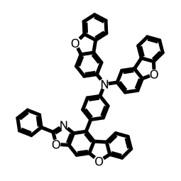 c1ccc(-c2nc3c(-c4ccc(N(c5ccc6oc7ccccc7c6c5)c5ccc6oc7ccccc7c6c5)cc4)c4c(cc3o2)oc2ccccc24)cc1